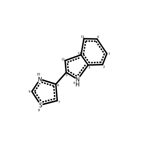 c1ccc2[nH]c(-c3cscn3)cc2c1